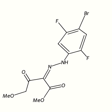 COCC(=O)C(=NNc1cc(F)c(Br)cc1F)C(=O)OC